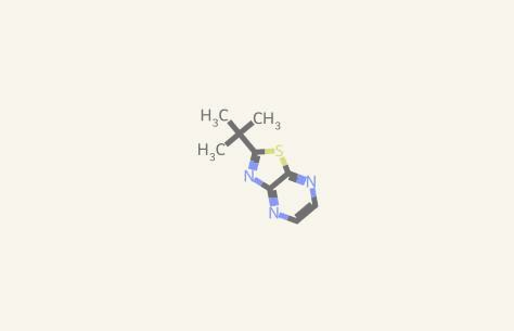 CC(C)(C)c1nc2nccnc2s1